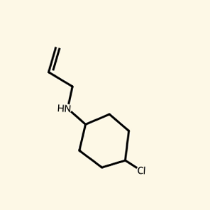 C=CCNC1CCC(Cl)CC1